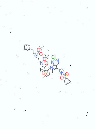 CC(C)(C)OC(=O)N(CCCN(C[C@H]1C[C@@H](n2cc(-c3ccn(S(=O)(=O)c4ccccc4)n3)c3cnc(Cl)nc32)[C@@H]2OC(C)(C)O[C@H]12)C(=O)OC(C)(C)C)CCc1ccccc1